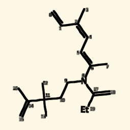 C=C/C(C)=C\C=C(/C)N(CCC(C)(C)C(=C)C)C(=C)CC